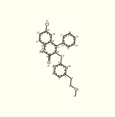 COCCc1ccnc(Sc2c(-c3ccccc3)c3cc(Cl)ccc3[nH]c2=O)n1